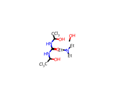 CCN(CC)CC.CO.O=C(NC(O)C(Cl)(Cl)Cl)NC(O)C(Cl)(Cl)Cl